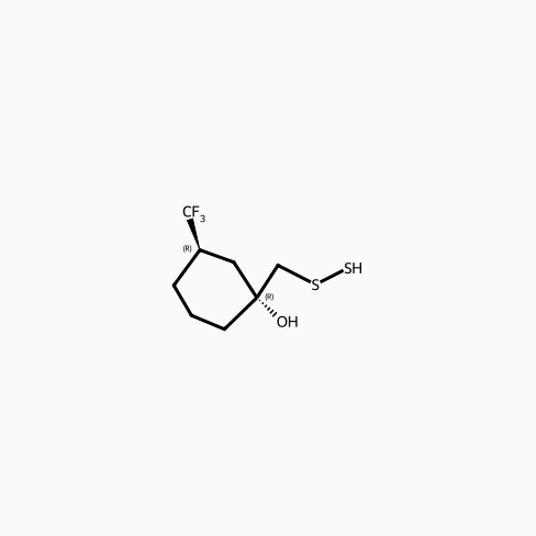 O[C@]1(CSS)CCC[C@@H](C(F)(F)F)C1